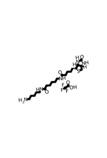 NCCCCCNC(=O)CCCCCNC(=O)CCCC[C@@H]1SC[C@@H]2NC(=O)N[C@@H]21.O=C(O)C(F)(F)F